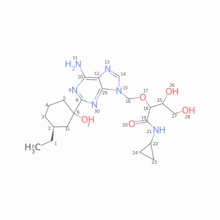 CC[C@H]1CCCC(O)(c2nc(N)c3ncn(COC(C(=O)NC4CC4)C(O)CO)c3n2)C1